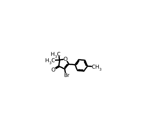 Cc1ccc(C2=C(Br)C(=O)C(C)(C)O2)cc1